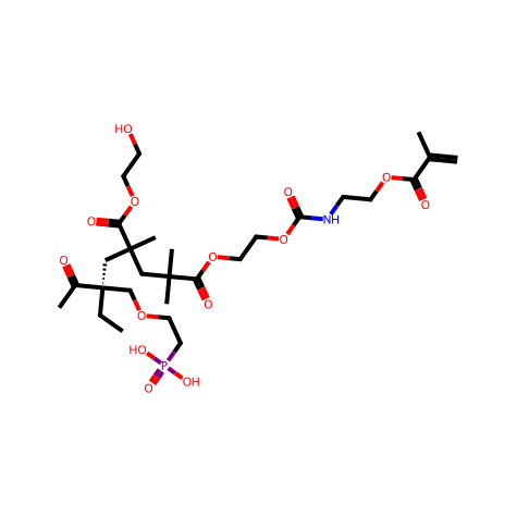 C=C(C)C(=O)OCCNC(=O)OCCOC(=O)C(C)(C)CC(C)(C[C@@](CC)(COCCP(=O)(O)O)C(C)=O)C(=O)OCCO